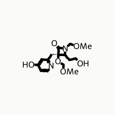 COCO[C@@]1(Cc2cc(O)ccn2)C(=O)N(COC)C1CCO